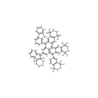 CC1(C)CCC(C)(C)c2cc(N3c4cc5c(cc4B4c6cc7c(cc6N(c6cccc8c6sc6ccccc68)c6cc(N8c9ccccc9C9(C)CCCCC89C)cc3c64)C(C)(C)CCC7(C)C)C(C)(C)CCC5(C)C)ccc21